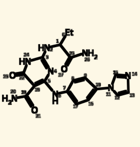 CCC(Nc1nc(Nc2ccc(-n3ccnc3)cc2)c(C(N)=O)c(=O)[nH]1)C(N)=O